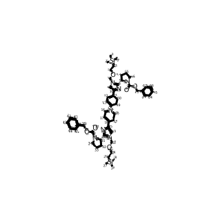 C[Si](C)(C)CCOCn1cc(C2=CC=C(N3CC=C(c4cn(COCC[Si](C)(C)C)c([C@@H]5CCCN5C(=O)OCc5ccccc5)n4)CC3)CC2)nc1[C@@H]1CCCN1C(=O)OCc1ccccc1